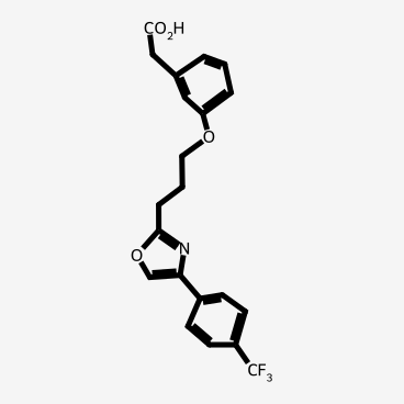 O=C(O)Cc1cccc(OCCCc2nc(-c3ccc(C(F)(F)F)cc3)co2)c1